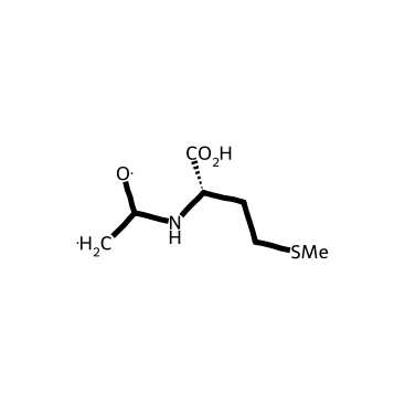 [CH2]C([O])N[C@@H](CCSC)C(=O)O